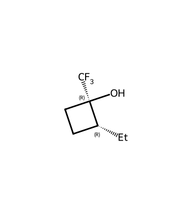 CC[C@@H]1CC[C@]1(O)C(F)(F)F